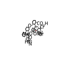 COc1ccc([C@H](Cc2c(Cl)c[n+]([O-])cc2Cl)c2c(COc3cccc(CN(C(=O)O[C@H]4CN5CCC4CC5)c4ccccc4)c3)cccc2C(=O)O)cc1OC